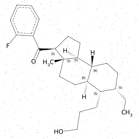 CC[C@H]1CC[C@@H]2[C@H](CC[C@]3(C)[C@@H](C(=O)c4ccccc4F)CC[C@@H]23)[C@H]1CCCO